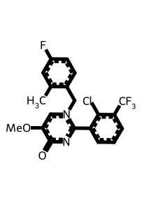 COc1cn(Cc2ccc(F)cc2C)c(-c2cccc(C(F)(F)F)c2Cl)nc1=O